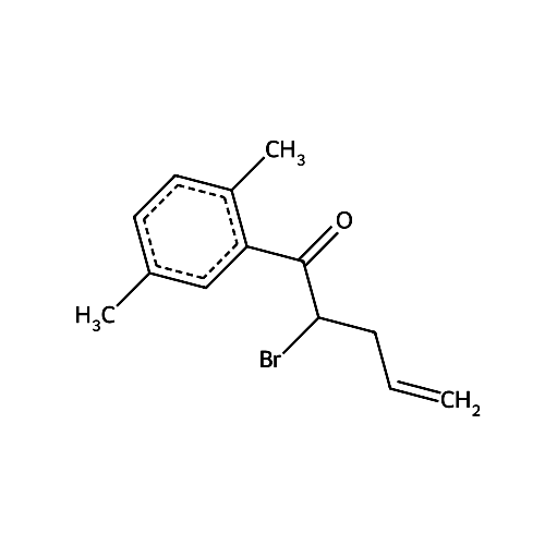 C=CCC(Br)C(=O)c1cc(C)ccc1C